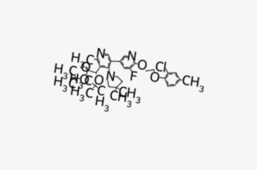 Cc1ccc(OCCOc2ncc(-c3cnc(C)c([C@H](OC(C)(C)C)C(=O)OC(C)C)c3N3CCC(C)(C)CC3)cc2F)c(Cl)c1